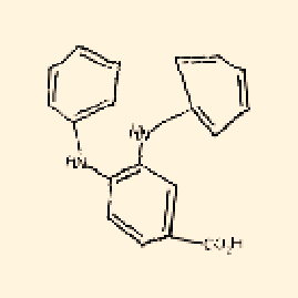 O=C(O)c1ccc(Nc2ccccc2)c(Nc2ccccc2)c1